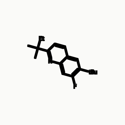 CCC(C)(C)c1ccc2cc(C(C)(C)C)c(F)cc2n1